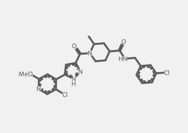 COc1cc(-c2cc(C(=O)N3CCC(C(=O)NCc4cccc(Cl)c4)CC3C)n[nH]2)c(Cl)cn1